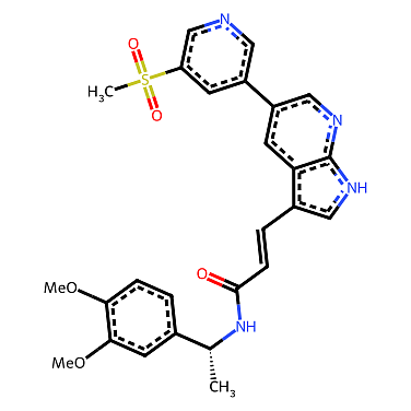 COc1ccc([C@@H](C)NC(=O)/C=C/c2c[nH]c3ncc(-c4cncc(S(C)(=O)=O)c4)cc23)cc1OC